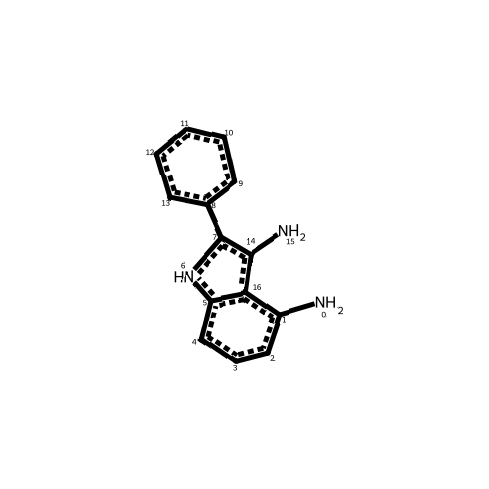 Nc1cccc2[nH]c(-c3ccccc3)c(N)c12